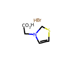 Br.O=C(O)CN1C=CSC1